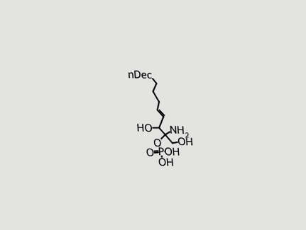 CCCCCCCCCCCCCC=CC(O)C(N)(CO)OP(=O)(O)O